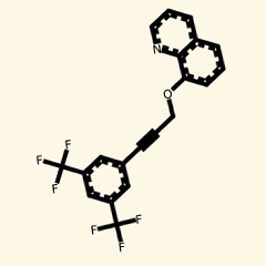 FC(F)(F)c1cc(C#CCOc2cccc3cccnc23)cc(C(F)(F)F)c1